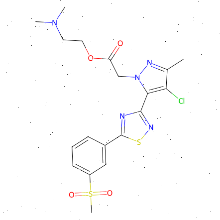 Cc1nn(CC(=O)OCCN(C)C)c(-c2nsc(-c3cccc(S(C)(=O)=O)c3)n2)c1Cl